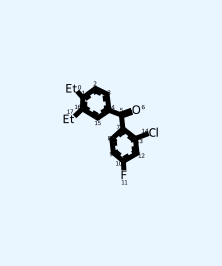 CCc1ccc(C(=O)c2ccc(F)cc2Cl)cc1CC